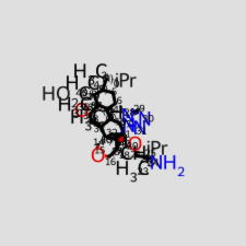 CC(C)[C@@H](C)[C@@]1(C)CC[C@]2(C)[C@H]3CC[C@@H]4[C@@]5(COC[C@@]4(C)[C@@H](OCC(C)(N)C(C)C)[C@H](n4ncnn4)C5)C3=CC(=O)[C@@]2(C)[C@@H]1C(=O)O